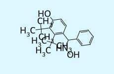 CC(C)(C)c1c(O)ccc(C(NO)c2ccccc2)c1C(C)(C)C